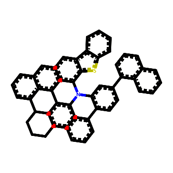 c1ccc(-c2ccc(-c3cccc4ccccc34)cc2N(c2ccccc2-c2cccc3cccc(C4CCCCC4)c23)c2cccc3c2sc2ccccc23)cc1